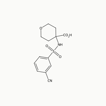 N#Cc1cccc(S(=O)(=O)NC2(C(=O)O)CCOCC2)c1